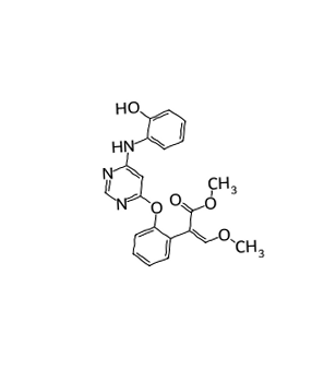 COC=C(C(=O)OC)c1ccccc1Oc1cc(Nc2ccccc2O)ncn1